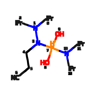 CC(C)N(C(C)C)N(CCC#N)[PH](O)(O)N(C(C)C)C(C)C